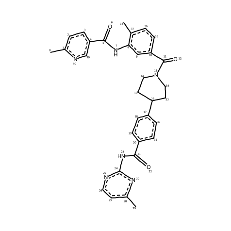 Cc1ccc(C(=O)Nc2cc(C(=O)N3CCC(c4ccc(C(=O)Nc5nccc(C)n5)cc4)CC3)ccc2C)cn1